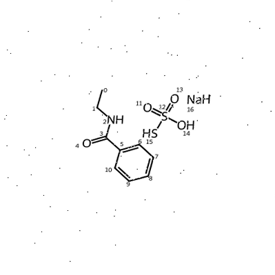 CCNC(=O)c1ccccc1.O=S(=O)(O)S.[NaH]